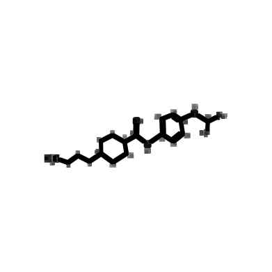 CCCCC1CCC(C(=O)Oc2ccc(OC(F)F)cc2)CC1